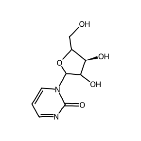 O=c1ncccn1C1OC(CO)[C@@H](O)C1O